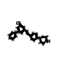 Clc1cc(C=Cc2ccc(N3CCNCC3)cc2)cc(-c2ccncc2)c1